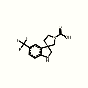 O=C(O)N1CC[C@]2(CNc3ccc(C(F)(F)F)cc32)C1